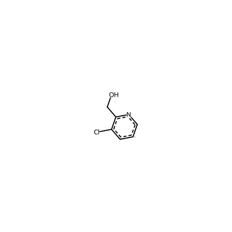 OCc1nc[c]cc1Cl